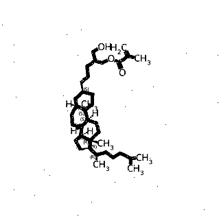 C=C(C)C(=O)OCC(CO)CCC[C@H]1CC[C@@]2(C)[C@@H](CC[C@@H]3[C@@H]2CC[C@]2(C)[C@@H]([C@H](C)CCCC(C)C)CC[C@@H]32)C1